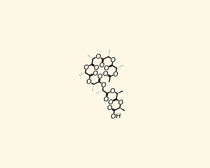 CC(=O)O[C@@H](C)C(=O)O[C@@H](C)C(=O)O[C@@H](C)C(=O)O[C@@H](C)C(=O)O[C@@H](C)C(=O)O[C@@H](C)C(=O)O[C@@H](C)C(=O)O[C@@H](C)C(=O)O